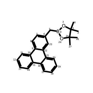 CC1(C)OB(Cc2ccc3c4ccccc4c4ccccc4c3c2)OC1(C)C